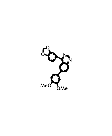 COc1ccc(-c2ccc3ncnc(-c4ccc5c(c4)OCO5)c3c2)cc1OC